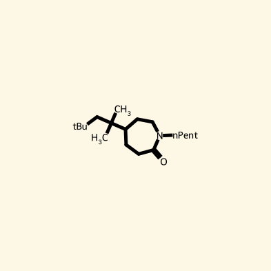 CCCCCN1CCC(C(C)(C)CC(C)(C)C)CCC1=O